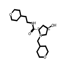 O=C(NCCC1CCOCC1)[C@@H]1C[C@@H](O)CN1CC1CCOCC1